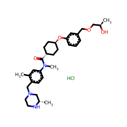 Cc1cc(N(C)C(=O)[C@H]2CC[C@H](Oc3cccc(COC[C@@H](C)O)c3)CC2)ccc1CN1CCN[C@@H](C)C1.Cl